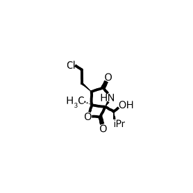 CC(C)[C@H](O)[C@@]12NC(=O)[C@H](CCCl)[C@]1(C)OC2=O